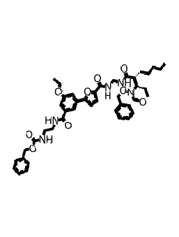 CCCCC[C@@H](C(=O)NCNC(=O)c1ccc(-c2cc(OCC)cc(C(=O)NCCNC(=O)OCc3ccccc3)c2)o1)[C@@H](CC)N(C=O)OCc1ccccc1